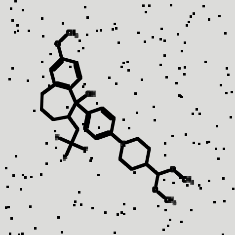 COc1ccc2c(c1)CCCC(CC(F)(F)F)C2(O)c1ccc(N2CCC(C(OC)OC)CC2)cc1